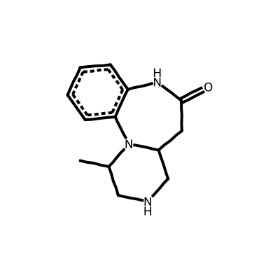 CC1CNCC2CC(=O)Nc3ccccc3N12